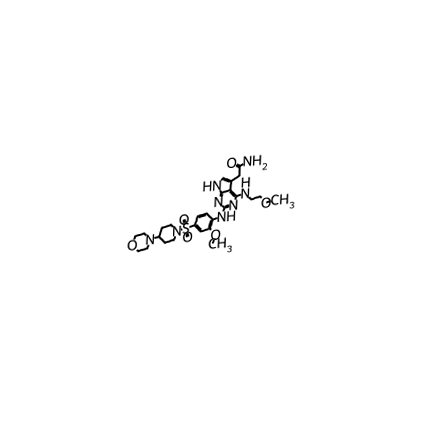 COCCNc1nc(Nc2ccc(S(=O)(=O)N3CCC(N4CCOCC4)CC3)cc2OC)nc2[nH]cc(CC(N)=O)c12